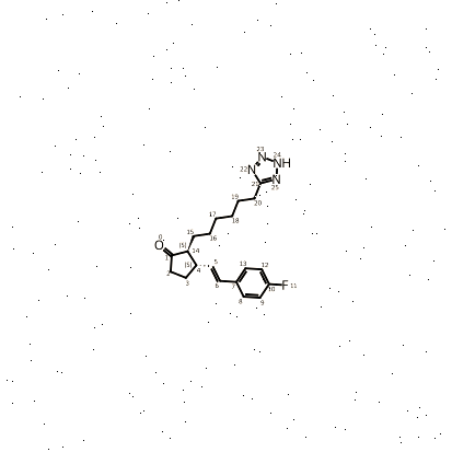 O=C1CC[C@@H](C=Cc2ccc(F)cc2)[C@@H]1CCCCCCc1nn[nH]n1